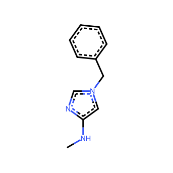 CNc1cn(Cc2ccccc2)cn1